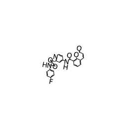 O=C(Nc1ccnc(S(=O)(=O)Nc2ccc(F)cc2)c1)c1cccc2ccc(=O)oc12